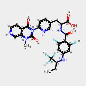 CCC(Nc1cc(F)c(C(=O)NC(Cc2ccc(-n3c(=O)c4ccncc4n(C)c3=O)nc2)C(=O)O)c(F)c1)C(F)(F)F